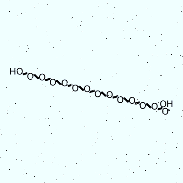 COC(O)COCCOCCOCCOCCOCCOCCOCCOCCOCCOCCOCCOCCO